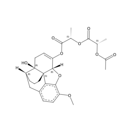 COc1ccc2c3c1O[C@H]1C(OC(=O)[C@H](C)OC(=O)[C@H](C)OC(C)=O)=CC[C@@]4(O)[C@H](CCC[C@]314)C2